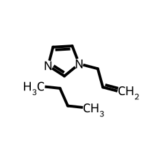 C=CCn1ccnc1.CCCC